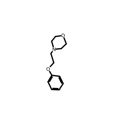 [c]1ccc(OCCN2CCOCC2)cc1